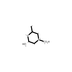 CC1CN(C(=O)O)CCO1.Cl